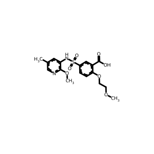 COCCOc1ccc(S(=O)(=O)Nc2cc(C)cnc2OC)cc1C(=O)O